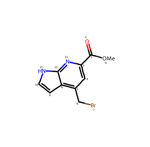 COC(=O)c1cc(CBr)c2cc[nH]c2n1